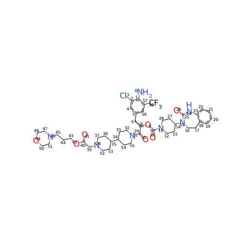 Nc1c(Cl)cc(C[C@@H](OC(=O)N2CCC(N3CCc4ccccc4NC3=O)CC2)C(=O)N2CCC(C3CCN(CC(=O)OCCCN4CCOCC4)CC3)CC2)cc1C(F)(F)F